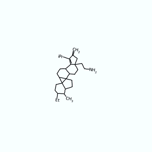 C=C1CC2(CCN)CCC3C(CCC4C35CCC3C(C)C(CC)CCC345)C2=C1C(C)C